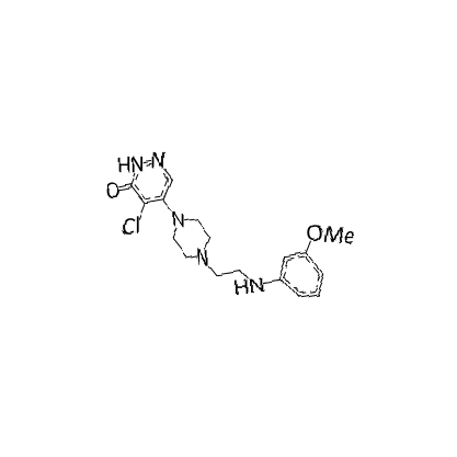 COc1cccc(NCCN2CCN(c3cn[nH]c(=O)c3Cl)CC2)c1